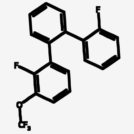 Fc1ccccc1-c1ccccc1-c1cccc(OC(F)(F)F)c1F